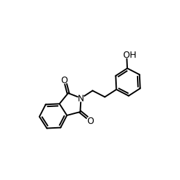 O=C1c2ccccc2C(=O)N1CCc1cccc(O)c1